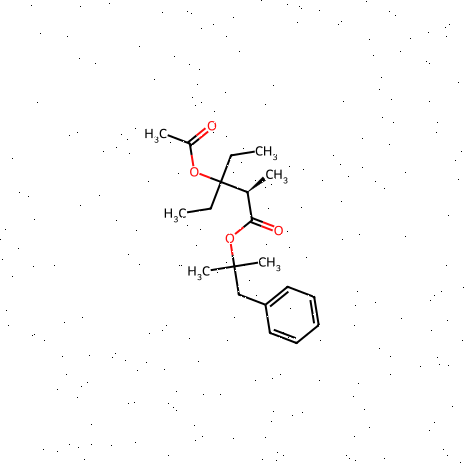 CCC(CC)(OC(C)=O)[C@@H](C)C(=O)OC(C)(C)Cc1ccccc1